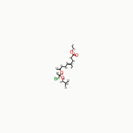 CCOC(=O)CCC(C)=CCCC(C)OC(C)(Br)OCC(C)C